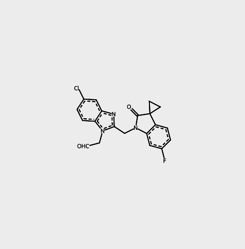 O=CCn1c(CN2C(=O)C3(CC3)c3ccc(F)cc32)nc2cc(Cl)ccc21